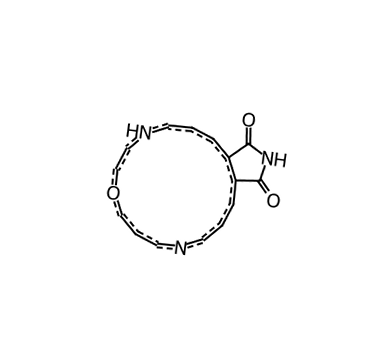 O=C1NC(=O)c2ccc[nH]ccocccncccc21